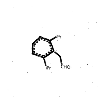 CC(C)c1cccc(C(C)C)c1C[C]=O